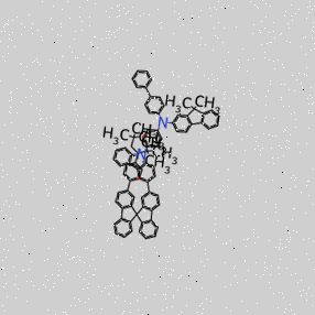 CC(C)(C)CC(c1ccc(-c2ccc3c(c2)C2(c4ccccc4-3)c3ccccc3-c3ccc(-c4ccc5c(c4)c4ccccc4n5-c4ccc(N(c5ccc(-c6ccccc6)cc5)c5ccc6c(c5)C(C)(C)c5ccccc5-6)cc4)cc32)cc1)C(C)(C)C